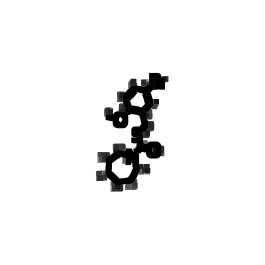 COc1ccc(Br)cc1CSC(=O)N1CCCCCC1